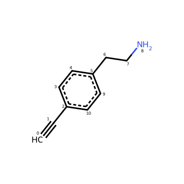 C#Cc1ccc(CCN)cc1